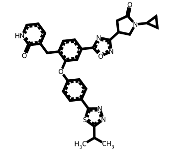 CC(C)c1nnc(-c2ccc(Oc3cc(-c4nc(C5CC(=O)N(C6CC6)C5)no4)ccc3Cc3ccc[nH]c3=O)cc2)s1